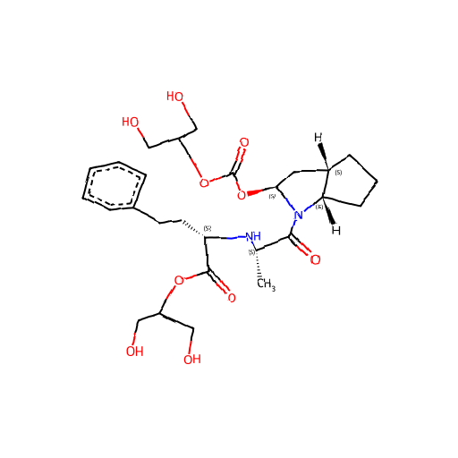 C[C@H](N[C@@H](CCc1ccccc1)C(=O)OC(CO)CO)C(=O)N1[C@@H](OC(=O)OC(CO)CO)C[C@@H]2CCC[C@@H]21